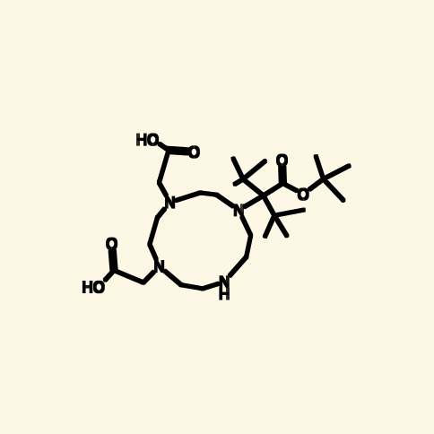 CC(C)(C)OC(=O)C(N1CCNCCN(CC(=O)O)CCN(CC(=O)O)CC1)(C(C)(C)C)C(C)(C)C